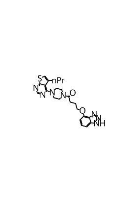 CCCc1csc2ncnc(N3CCN(C(=O)CCCOc4cccc5[nH]nnc45)CC3)c12